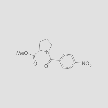 COC(=O)[C@@H]1CCCN1C(=O)c1ccc([N+](=O)[O-])cc1